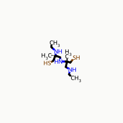 CCNC[C@@](C)(CS)NC[C@@](C)(CS)NCC